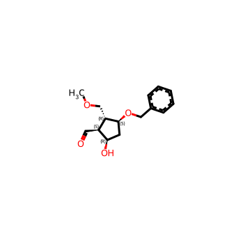 COC[C@H]1[C@H](C=O)[C@H](O)C[C@@H]1OCc1ccccc1